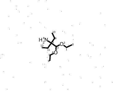 CCOC(OCC)C(N)(CC)CC